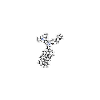 c1ccc(-n2c3ccccc3c3cc(N(c4ccc(-c5ccc6ccccc6c5)cc4)c4ccc(-c5c6ccccc6c(-c6ccc7c(c6)C(c6ccccc6)(c6ccccc6)c6ccccc6-7)c6ccccc56)cc4)ccc32)cc1